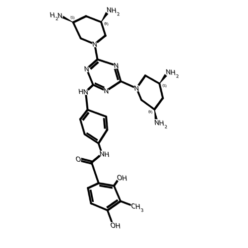 Cc1c(O)ccc(C(=O)Nc2ccc(Nc3nc(N4C[C@H](N)C[C@H](N)C4)nc(N4C[C@H](N)C[C@H](N)C4)n3)cc2)c1O